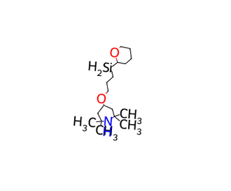 CC1(C)CC(OCCC[SiH2]C2CCCCO2)CC(C)(C)N1